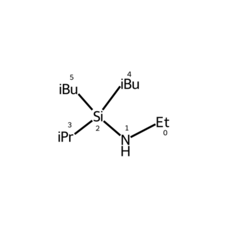 CCN[Si](C(C)C)(C(C)CC)C(C)CC